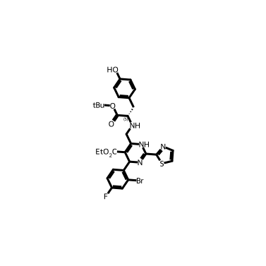 CCOC(=O)C1=C(CN[C@@H](Cc2ccc(O)cc2)C(=O)OC(C)(C)C)NC(c2nccs2)=NC1c1ccc(F)cc1Br